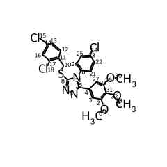 COc1cc(-c2nnc(SCc3ccc(Cl)cc3Cl)n2-c2ccc(Cl)cc2)cc(OC)c1OC